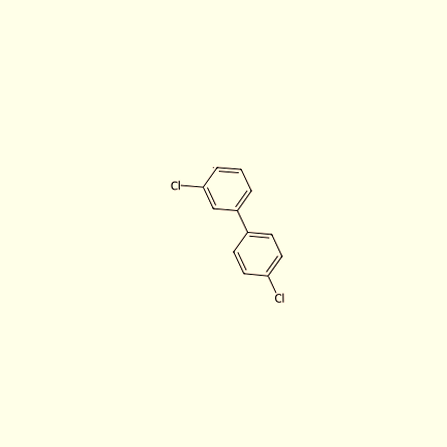 Clc1[c]ccc(-c2ccc(Cl)cc2)c1